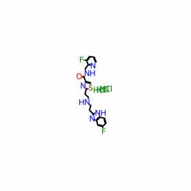 Cl.Cl.Cl.O=C(NCc1ncccc1F)c1csc(CCNCCc2nc3cc(F)ccc3[nH]2)n1